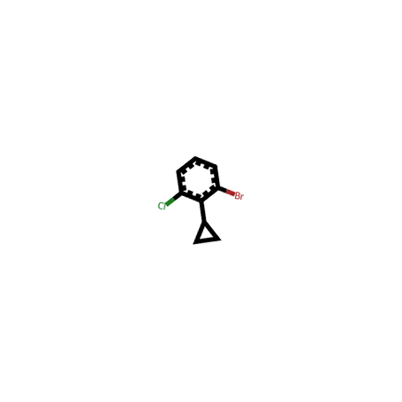 Clc1cccc(Br)c1C1CC1